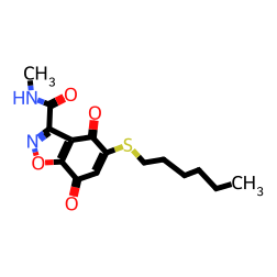 CCCCCCSC1=CC(=O)c2onc(C(=O)NC)c2C1=O